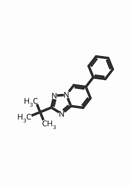 CC(C)(C)c1nc2ccc(-c3ccccc3)cn2n1